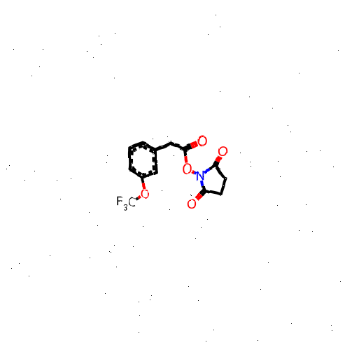 O=C(Cc1cccc(OC(F)(F)F)c1)ON1C(=O)CCC1=O